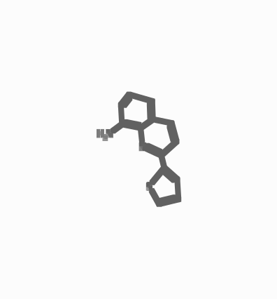 Nc1cccc2ccc(-c3cccs3)nc12